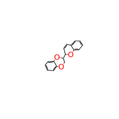 C1=CC(C2COc3ccccc3O2)Oc2ccccc21